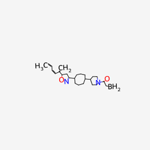 BCC(=O)N1CCC(C2CCCC(C3=NOC(C(=C)/C=C\C=C/C)C3)CCC2)CC1